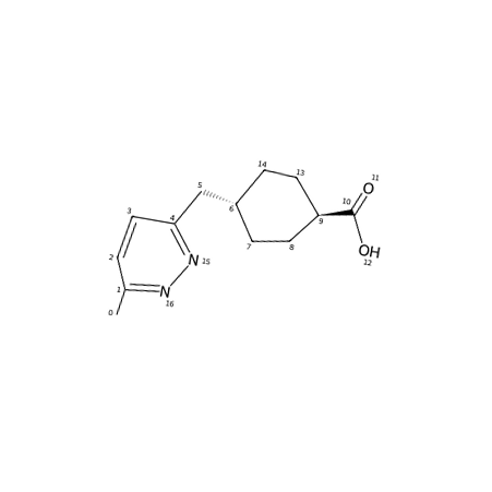 Cc1ccc(C[C@H]2CC[C@H](C(=O)O)CC2)nn1